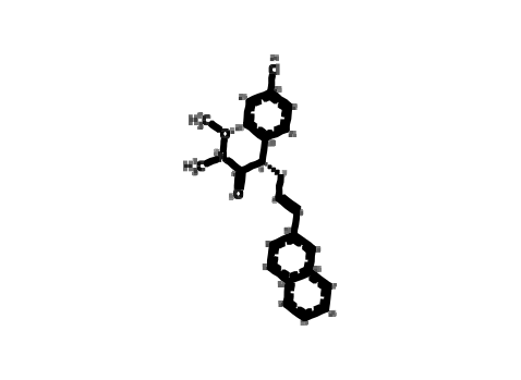 CON(C)C(=O)[C@@H](C/C=C/c1ccc2ccccc2c1)c1ccc(Cl)cc1